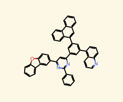 c1ccc(-c2nc(-c3cc(-c4cccc5ncccc45)cc(-c4cc5ccccc5c5ccccc45)c3)cc(-c3ccc4oc5ccccc5c4c3)n2)cc1